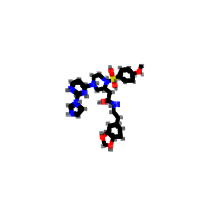 COc1ccc(S(=O)(=O)N2CCN(c3ccnc(-n4ccnc4)n3)CC2CC(=O)NCCc2ccc3c(c2)OCO3)cc1